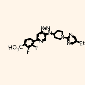 CCc1cnc(N2CCC(n3nnc4cc(-c5ccc(C(=O)O)c(F)c5F)ncc43)CC2)nc1